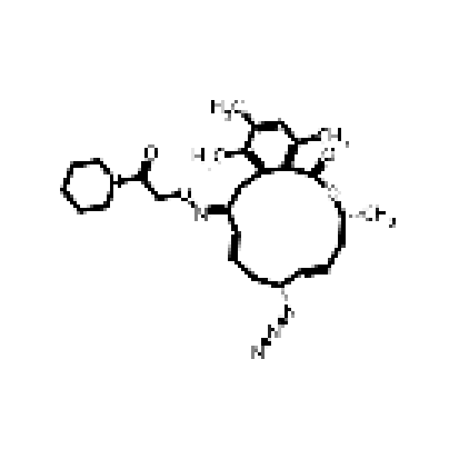 Cc1cc(C)c2c(c1C)CC(=NOCC(=O)N1CCCCC1)/C=C/C[C@@H](N=[N+]=[N-])/C=C/C[C@@H](C)OC2=O